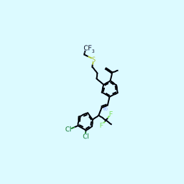 C=C(C)c1ccc(/C=C/C(c2ccc(Cl)c(Cl)c2)C(C)(F)F)cc1CCCSCC(F)(F)F